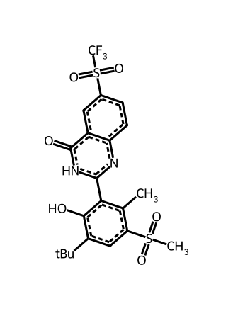 Cc1c(S(C)(=O)=O)cc(C(C)(C)C)c(O)c1-c1nc2ccc(S(=O)(=O)C(F)(F)F)cc2c(=O)[nH]1